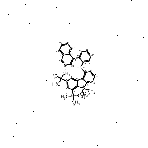 CC(C)(C)c1cc2c(c(C(C)(C)C)c1)C(C)(C)c1cccc(Nc3ccccc3-c3cccc4ccccc34)c1-2